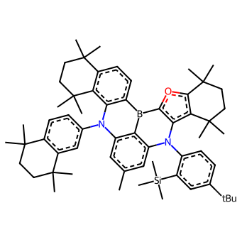 Cc1cc2c3c(c1)N(c1ccc(C(C)(C)C)cc1[Si](C)(C)C)c1c(oc4c1C(C)(C)CCC4(C)C)B3c1ccc3c(c1N2c1ccc2c(c1)C(C)(C)CCC2(C)C)C(C)(C)CCC3(C)C